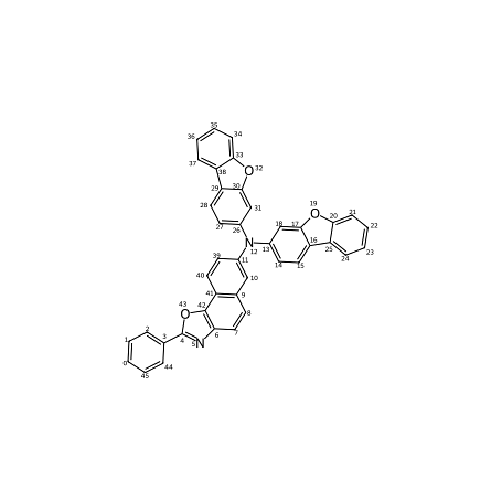 c1ccc(-c2nc3ccc4cc(N(c5ccc6c(c5)oc5ccccc56)c5ccc6c(c5)oc5ccccc56)ccc4c3o2)cc1